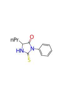 CCCC1NC(=S)N(c2ccccc2)C1=O